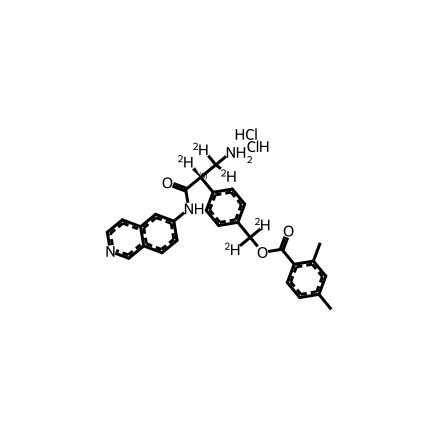 Cl.Cl.[2H]C([2H])(OC(=O)c1ccc(C)cc1C)c1ccc([C@]([2H])(C(=O)Nc2ccc3cnccc3c2)C([2H])([2H])N)cc1